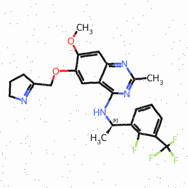 COc1cc2nc(C)nc(N[C@H](C)c3cccc(C(F)(F)F)c3F)c2cc1OCC1=NCCC1